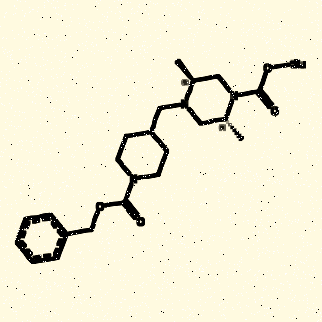 C[C@@H]1CN(CC2CCN(C(=O)OCc3ccccc3)CC2)[C@@H](C)CN1C(=O)OC(C)(C)C